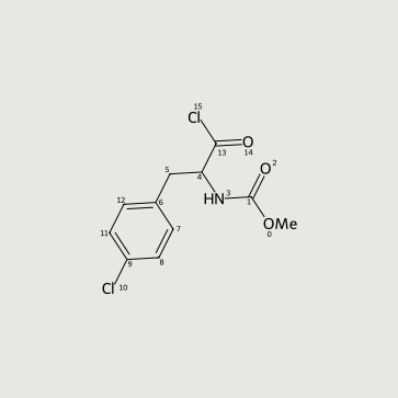 COC(=O)NC(Cc1ccc(Cl)cc1)C(=O)Cl